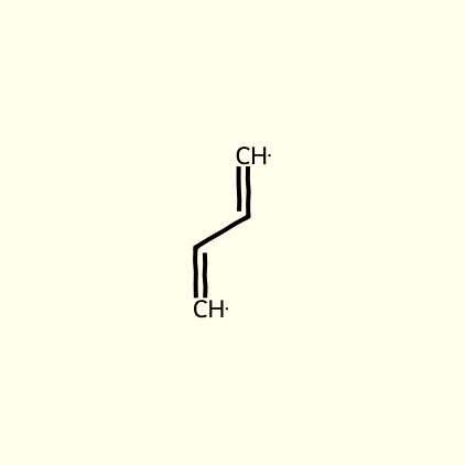 [CH]=CC=[CH]